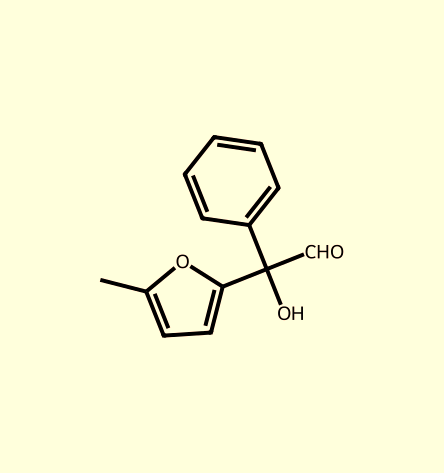 Cc1ccc(C(O)(C=O)c2ccccc2)o1